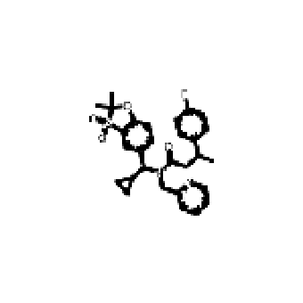 CC(CC(=O)N(Cc1ccccn1)C(c1ccc2c(c1)S(=O)(=O)C(C)(C)O2)C1CC1)c1ccc(F)cc1